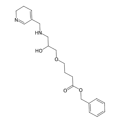 O=C(CCCOCC(O)CNCC1=CCCN=C1)OCc1ccccc1